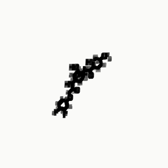 O=C(COc1ccc(F)c(F)c1)NC12CCC(NC(=O)C3CCC(C(F)(F)F)CN3)(CC1)C(O)C2